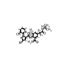 Cc1cc(C(F)(F)C(=O)NC(C)C)cc(C(N)=O)c1NC(=O)c1cc(Br)nn1-c1ncccc1Cl